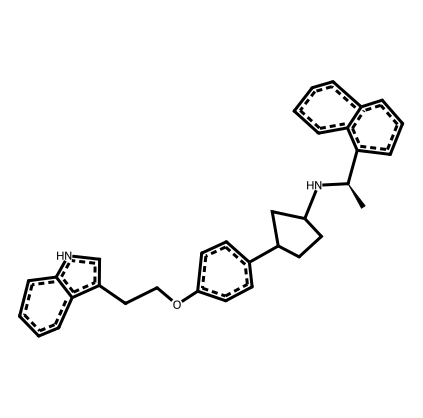 C[C@@H](NC1CCC(c2ccc(OCCc3c[nH]c4ccccc34)cc2)C1)c1cccc2ccccc12